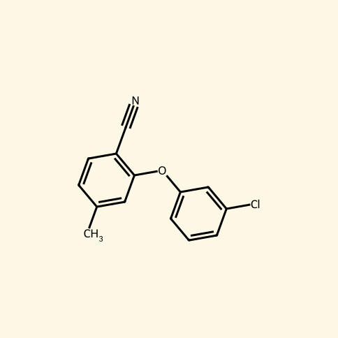 Cc1ccc(C#N)c(Oc2cccc(Cl)c2)c1